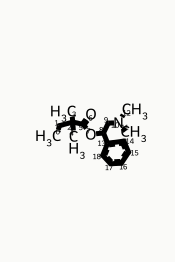 CCC(C)(C)C(=O)OC(CN(C)C)c1ccccc1